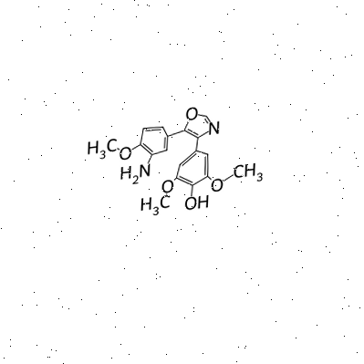 COc1ccc(-c2ocnc2-c2cc(OC)c(O)c(OC)c2)cc1N